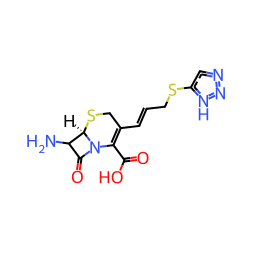 NC1C(=O)N2C(C(=O)O)=C(/C=C/CSc3cnn[nH]3)CS[C@H]12